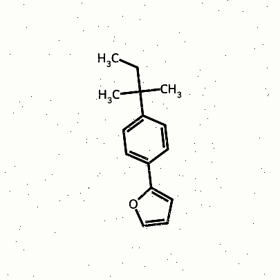 CCC(C)(C)c1ccc(-c2ccco2)cc1